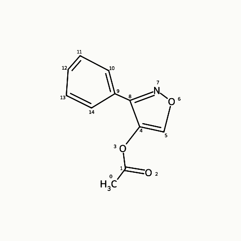 CC(=O)Oc1conc1-c1ccccc1